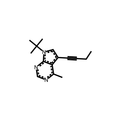 CCC#Cc1cn(C(C)(C)C)c2ncnc(C)c12